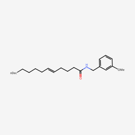 CCCCCCCCCCCCCCC=CCCCC(=O)NCc1cccc(OC)c1